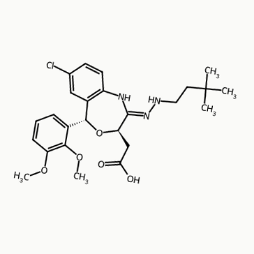 COc1cccc([C@H]2O[C@H](CC(=O)O)/C(=N/NCCC(C)(C)C)Nc3ccc(Cl)cc32)c1OC